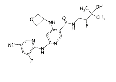 CC(C)(O)C(F)CNC(=O)c1cnc(Nc2ncc(C#N)cc2F)cc1NC1COC1